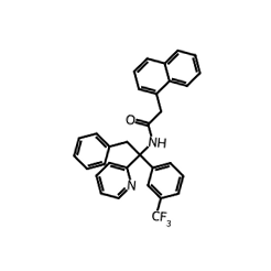 O=C(Cc1cccc2ccccc12)NC(Cc1ccccc1)(c1cccc(C(F)(F)F)c1)c1ccccn1